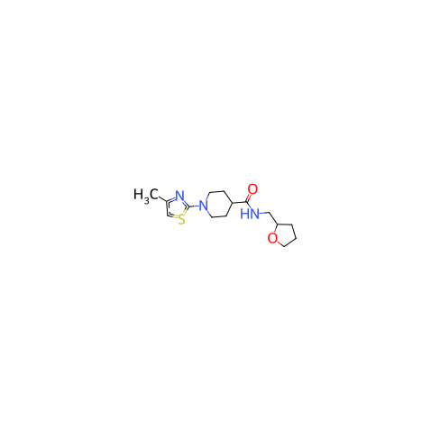 Cc1csc(N2CCC(C(=O)NCC3CCCO3)CC2)n1